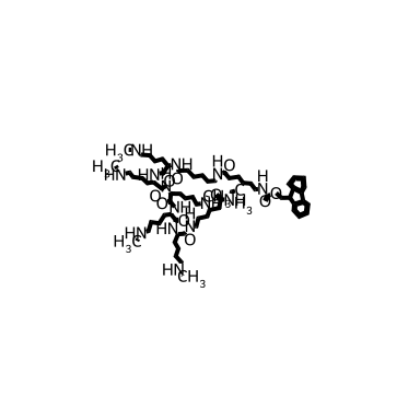 CCNC(=O)CCCCCNC(=O)C(CCCCNC)NC(=O)C(CCCCNC)NC(=O)C(CCCCNC)NC(=O)C(CCCCNC)NC(=O)C(CCCCNC)NC(=O)CCCCCNC(=O)CCCCCNC(=O)OCC1c2ccccc2-c2ccccc21